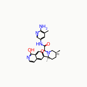 Cc1cc(NC(=O)C(=O)N2C[C@@H](C)CC[C@@]2(C)c2ccc3c(O)nccc3c2)cnc1N